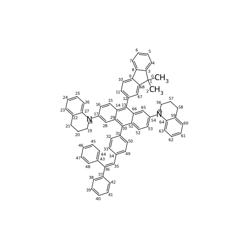 CC1(C)c2ccccc2-c2ccc(-c3c4ccc(N5CCCc6ccccc65)cc4c(-c4ccc(C=C(c5ccccc5)c5ccccc5)cc4)c4ccc(N5CCCc6ccccc65)cc34)cc21